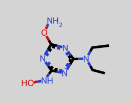 CCN(CC)c1nc(NO)nc(ON)n1